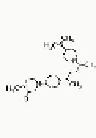 CC(CCC(C)N1CCC(N2CCN(C)C(=O)C2)CC1)N1CCC(N(C)C)CC1